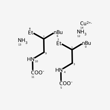 CCCCC(CC)CNC(=O)[O-].CCCCC(CC)CNC(=O)[O-].N.N.[Cu+2]